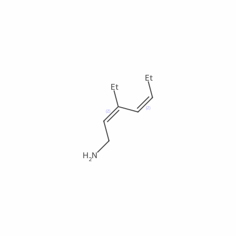 CC/C=C\C(=C/CN)CC